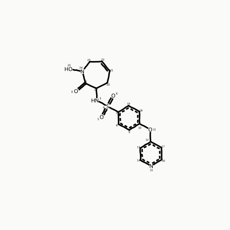 O=C1C(NS(=O)(=O)c2ccc(Oc3ccncc3)cc2)CC=CCN1O